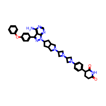 Nc1ncnc2c1c(-c1ccc(Oc3ccccc3)cc1)nn2C1CC2CN(C3CN(C4CN(c5ccc(C6CCC(=O)NC6=O)cc5)C4)C3)CC2C1